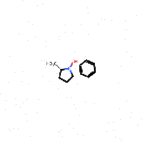 O=C(O)[C@H]1CCCN1O.c1ccccc1